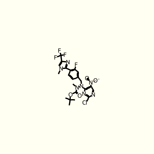 CN(C(=O)OC(C)(C)C)N(Cc1ccc(-c2nc(C(F)(F)F)cn2C)c(F)c1)c1nc(Cl)ncc1[N+](=O)[O-]